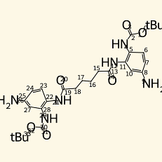 CC(C)(C)OC(=O)Nc1ccc(N)cc1NC(=O)CCCCC(=O)Nc1ccc(N)cc1NC(=O)OC(C)(C)C